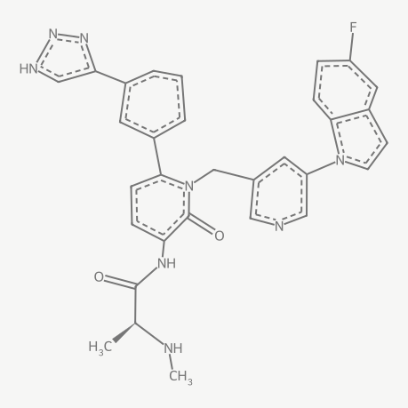 CN[C@@H](C)C(=O)Nc1ccc(-c2cccc(-c3c[nH]nn3)c2)n(Cc2cncc(-n3ccc4cc(F)ccc43)c2)c1=O